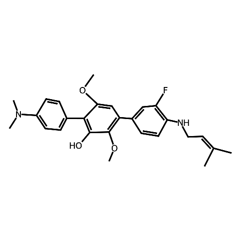 COc1cc(-c2ccc(NCC=C(C)C)c(F)c2)c(OC)c(O)c1-c1ccc(N(C)C)cc1